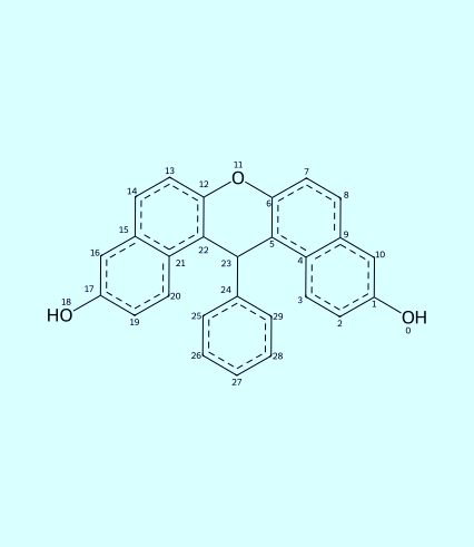 Oc1ccc2c3c(ccc2c1)Oc1ccc2cc(O)ccc2c1C3c1ccccc1